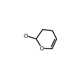 [O]C1CCC=CO1